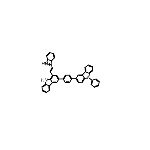 C1=CC2NN(/C=C/c3cc(-c4ccc(-c5ccc6c(c5)c5ccccc5n6-c5ccccc5)cc4)cc4c3[nH]c3ccccc34)C2C=C1